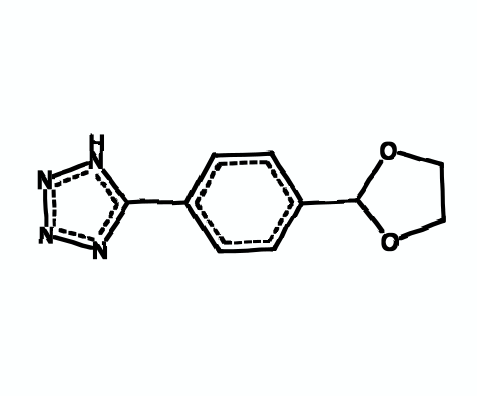 c1cc(C2OCCO2)ccc1-c1nnn[nH]1